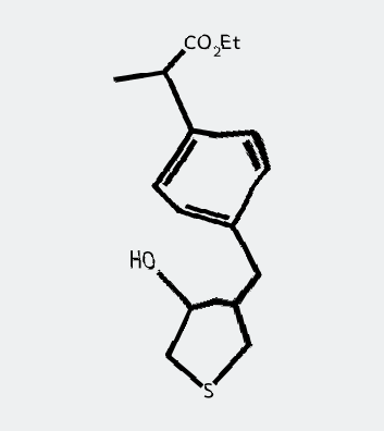 CCOC(=O)C(C)c1ccc(CC2CSCC2O)cc1